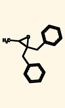 CC1OC1(Cc1ccccc1)Cc1ccccc1